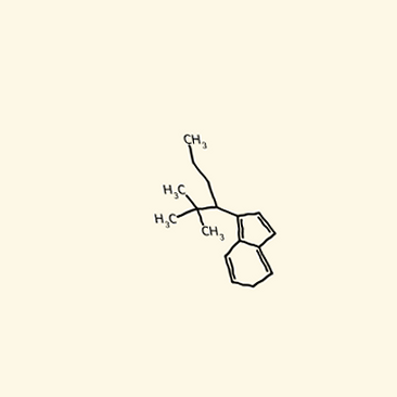 CCCC(C1=C2C=CCC=C2C=C1)C(C)(C)C